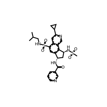 CC(C)CNS(=O)(=O)c1cc2c(c3cnc(C4CC4)cc13)[C@@H](NS(C)(=O)=O)C[C@@H]2NC(=O)c1cccnc1